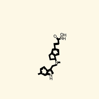 Cc1ccc2c(CCN(C)C3CCc4cc(C=CC(=O)NO)ccc43)c[nH]c2c1